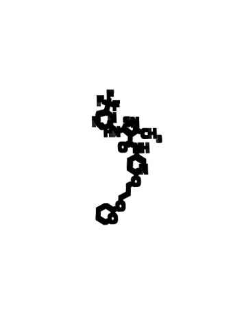 Cc1nsc(Nc2cncc(C(F)(F)F)n2)c1C(=O)Nc1ccc(OCCCOC2CCCCO2)nc1